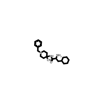 N#CC1(NC(=O)C(N)CC2CCCCC2)CCN(Cc2ccccc2)CC1